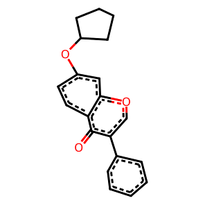 O=c1c(-c2ccccc2)coc2cc(OC3CCCC3)ccc12